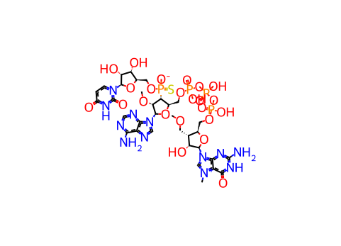 COC[C@H]1[C@@H](O)[C@H](n2c[n+](C)c3c(=O)[nH]c(N)nc32)O[C@@H]1COP(=O)(O)OP(=O)(O)OP(=O)(O)OC[C@H]1O[C@@H](n2cnc3c(N)ncnc32)[C@H](OC)[C@@H]1P([O-])(=S)OC[C@H]1O[C@@H](n2ccc(=O)[nH]c2=O)[C@H](O)[C@@H]1O